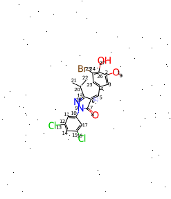 COc1cc(/C=C2/C(=O)N(c3cc(Cl)cc(Cl)c3)N=C2C(C)C)cc(Br)c1O